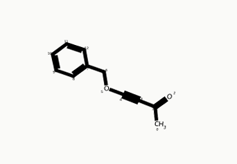 CC(=O)C#COCc1ccccc1